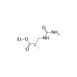 CCOC(=O)[C@@H](C)CNC(N)=O